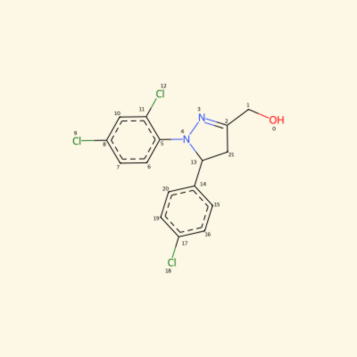 OCC1=NN(c2ccc(Cl)cc2Cl)C(c2ccc(Cl)cc2)C1